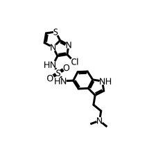 CN(C)CCc1c[nH]c2ccc(NS(=O)(=O)Nc3c(Cl)nc4sccn34)cc12